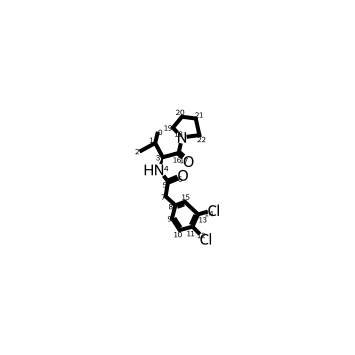 CC(C)[C@H](NC(=O)Cc1ccc(Cl)c(Cl)c1)C(=O)N1CCCC1